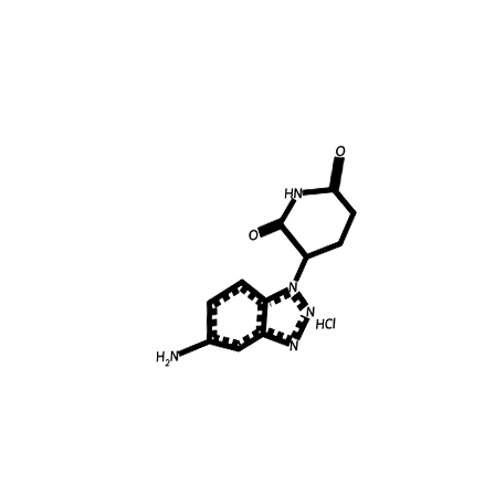 Cl.Nc1ccc2c(c1)nnn2C1CCC(=O)NC1=O